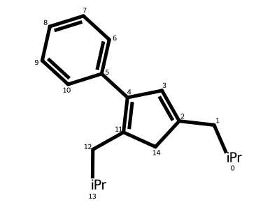 CC(C)CC1=CC(c2ccccc2)=C(CC(C)C)C1